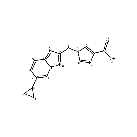 O=C(O)c1cn(Cc2nc3ccc(C4CC4)cn3n2)cn1